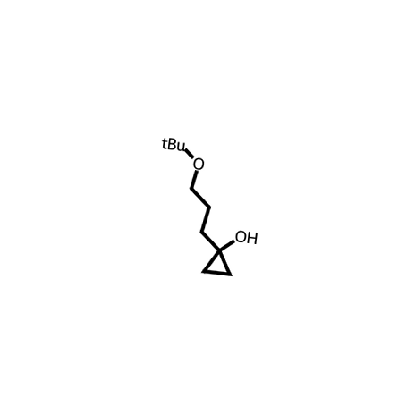 CC(C)(C)OCCCC1(O)CC1